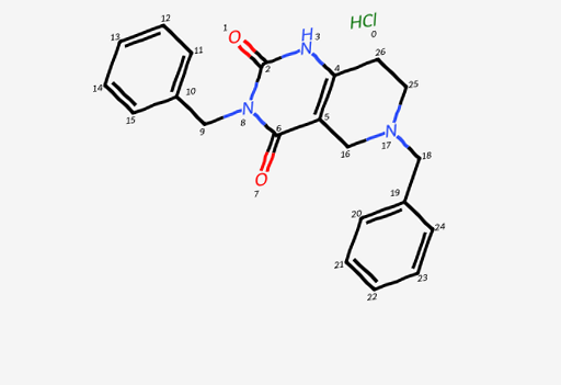 Cl.O=c1[nH]c2c(c(=O)n1Cc1ccccc1)CN(Cc1ccccc1)CC2